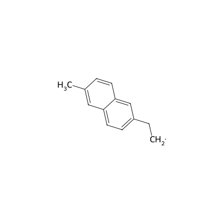 [CH2]Cc1ccc2cc(C)ccc2c1